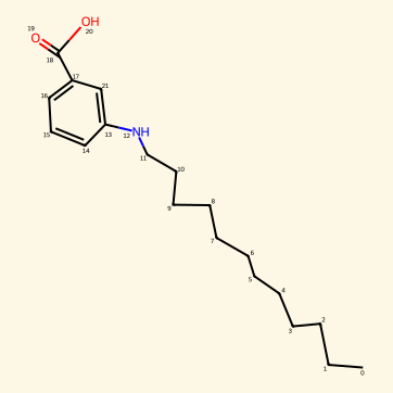 CCCCCCCCCCCCNc1cccc(C(=O)O)c1